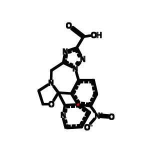 O=C(O)c1nc2n(n1)-c1ccc([N+](=O)[O-])cc1C1(c3ccccn3)OCCN1C2